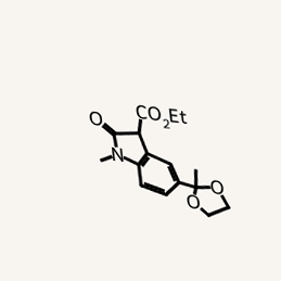 CCOC(=O)C1C(=O)N(C)c2ccc(C3(C)OCCO3)cc21